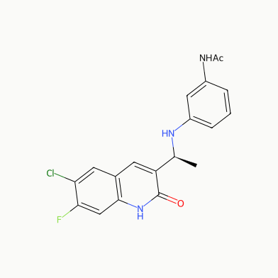 CC(=O)Nc1cccc(N[C@@H](C)c2cc3cc(Cl)c(F)cc3[nH]c2=O)c1